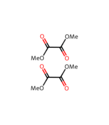 COC(=O)C(=O)OC.COC(=O)C(=O)OC